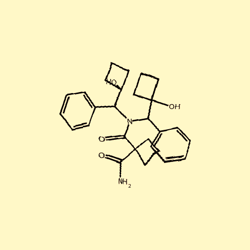 NC(=O)C1(C(=O)N(C(c2ccccc2)C2(O)CCC2)C(c2ccccc2)C2(O)CCC2)CCC1